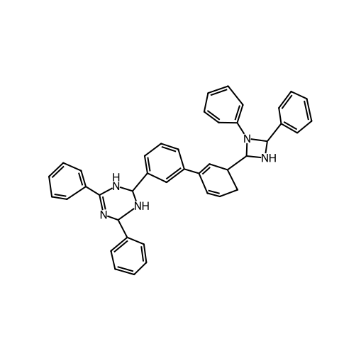 C1=CC(c2cccc(C3NC(c4ccccc4)=NC(c4ccccc4)N3)c2)=CC(C2NC(c3ccccc3)N2c2ccccc2)C1